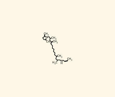 C=C(CCCCCCCC(=C)CC(C)CN1C(=C)CCC1=C)CC(C)CNC/C=C\C